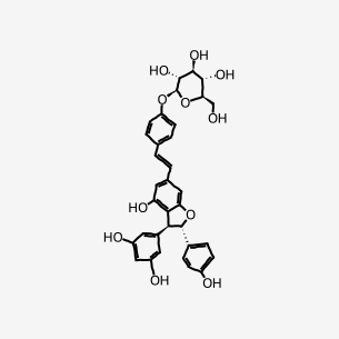 OC[C@H]1O[C@@H](Oc2ccc(/C=C/c3cc(O)c4c(c3)O[C@H](c3ccc(O)cc3)[C@H]4c3cc(O)cc(O)c3)cc2)[C@H](O)[C@@H](O)[C@@H]1O